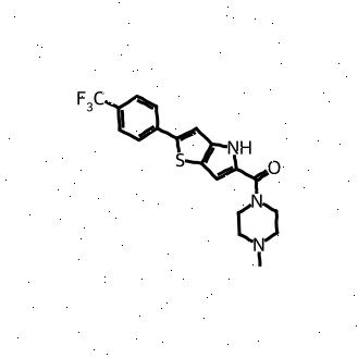 CN1CCN(C(=O)c2cc3sc(-c4ccc(C(F)(F)F)cc4)cc3[nH]2)CC1